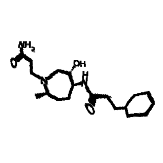 C[C@@H]1CC[C@H](NC(=O)[CH]CC2CCCCC2)[C@@H](O)CN1CCC(N)=O